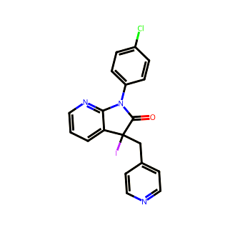 O=C1N(c2ccc(Cl)cc2)c2ncccc2C1(I)Cc1ccncc1